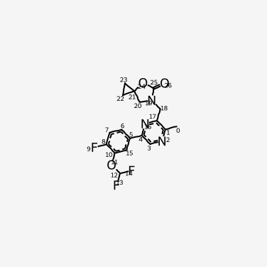 Cc1ncc(-c2ccc(F)c(OC(F)F)c2)nc1CN1CC2(CC2)OC1=O